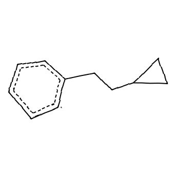 [c]1ccccc1CCC1CC1